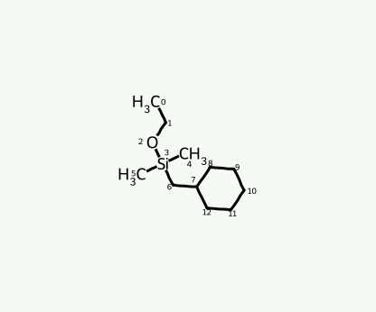 CCO[Si](C)(C)CC1CCCCC1